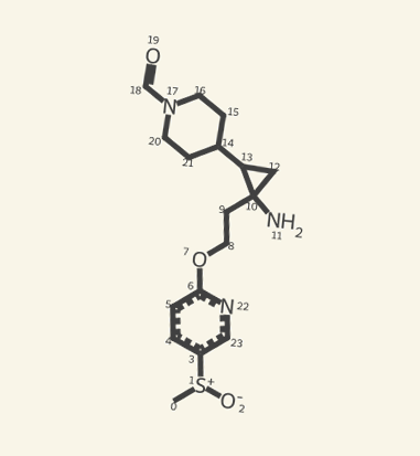 C[S+]([O-])c1ccc(OCCC2(N)CC2C2CCN(C=O)CC2)nc1